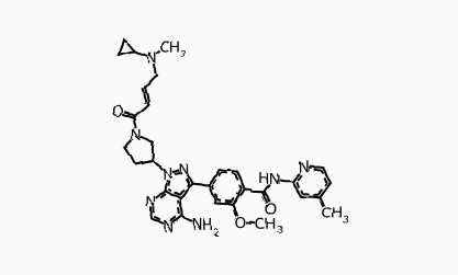 COc1cc(-c2nn(C3CCN(C(=O)C=CCN(C)C4CC4)C3)c3ncnc(N)c23)ccc1C(=O)Nc1cc(C)ccn1